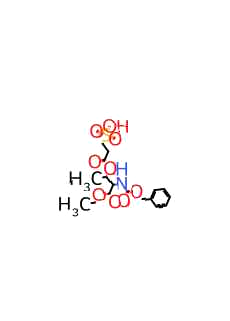 CCOC(=O)C(NC(=O)OCc1ccccc1)C(C)OC(=O)CCS(=O)(=O)O